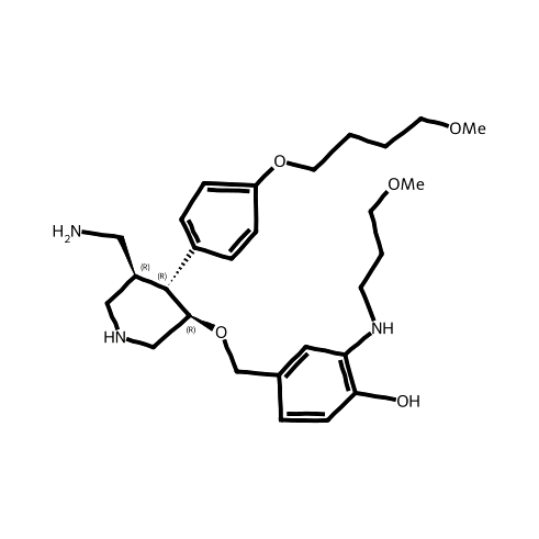 COCCCCOc1ccc([C@H]2[C@H](CN)CNC[C@@H]2OCc2ccc(O)c(NCCCOC)c2)cc1